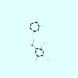 Cc1cc(C(=O)COc2cc(F)c(F)c(F)c2)c(O)cc1O